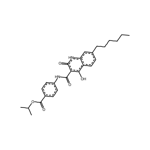 CCCCCCc1ccc2c(O)c(C(=O)Nc3ccc(C(=O)OC(C)C)cc3)c(=O)[nH]c2c1